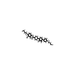 CCCCOc1ccc(-c2ccc(C3CCC(C(=O)Oc4ccc(OCCCC)c(F)c4F)CC3)c(F)c2F)cc1